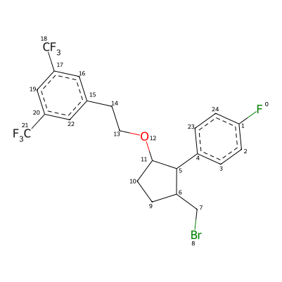 Fc1ccc(C2C(CBr)CCC2OCCc2cc(C(F)(F)F)cc(C(F)(F)F)c2)cc1